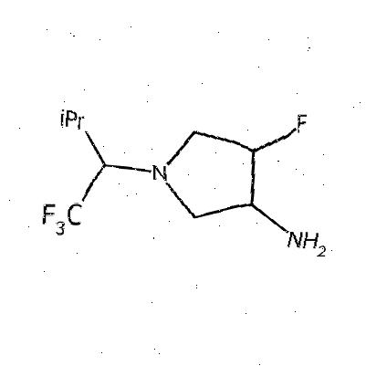 CC(C)C(N1CC(N)C(F)C1)C(F)(F)F